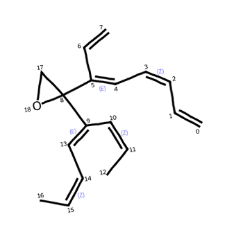 C=C/C=C\C=C(/C=C)C1(C(/C=C\C)=C/C=C\C)CO1